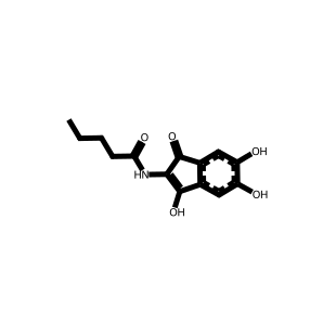 CCCCC(=O)NC1=C(O)c2cc(O)c(O)cc2C1=O